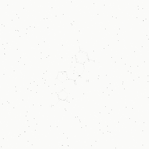 Cc1noc([C@@H]2CCCN2C(=O)C(C)(C)Oc2c(F)cc(F)cc2F)n1